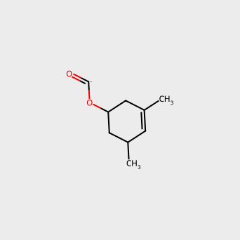 CC1=CC(C)CC(O[C]=O)C1